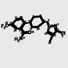 CCc1nn(C[C@H]2CC[C@H](c3ccc(C(F)(F)F)cc3C(N)=O)CC2)cc1C